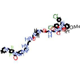 COc1ccc(C2=N[C@@H](c3ccc(Cl)cc3)[C@@H](c3ccc(Cl)cc3)N2C(=O)N2CCN(CC(=O)NCCOCCN3C[C@@H]4CN(CC(=O)NCCCNc5cc(N6CCC7(CC6)CN(c6cc(F)c(CN8CCC(C)(C)CC8)cc6F)CC(=O)N7)ncn5)C[C@@H]4C3)C(=O)C2)c(OC(C)C)c1